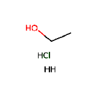 CCO.Cl.[HH]